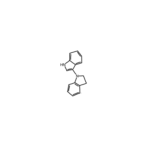 [c]1cccc2c1CCN2c1c[nH]c2ccccc12